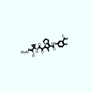 CN/N=C(\S)C1(NC(=O)C(=O)c2c(C)c(C(=O)Nc3ccc(F)c(C(F)F)c3)c3n2CCC3)CC1